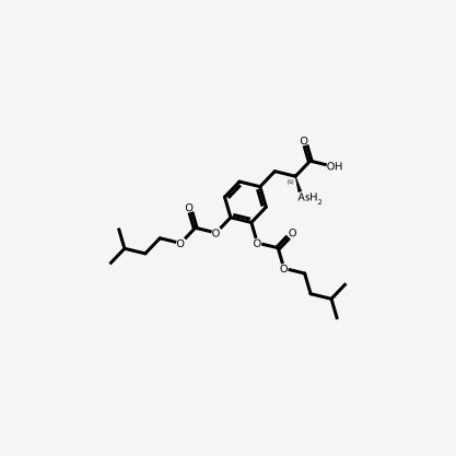 CC(C)CCOC(=O)Oc1ccc(C[C@H]([AsH2])C(=O)O)cc1OC(=O)OCCC(C)C